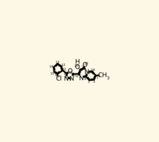 Cc1ccc2nc(-c3nnc(-c4ccccc4Cl)o3)c(O)c(=O)n2c1